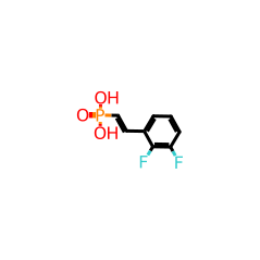 O=P(O)(O)C=Cc1cccc(F)c1F